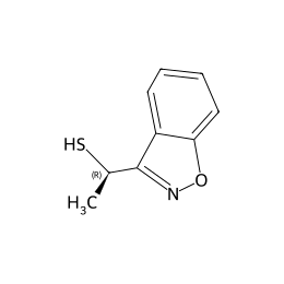 C[C@@H](S)c1noc2ccccc12